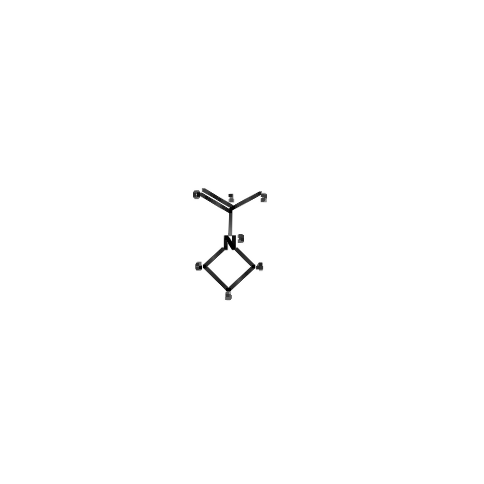 C=C(C)N1CCC1